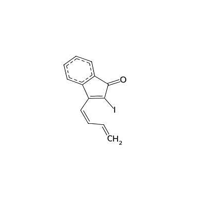 C=C/C=C\C1=C(I)C(=O)c2ccccc21